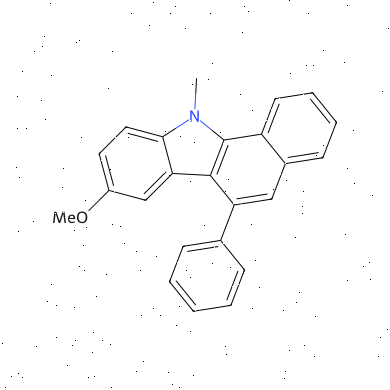 COc1ccc2c(c1)c1c(-c3ccccc3)cc3ccccc3c1n2C